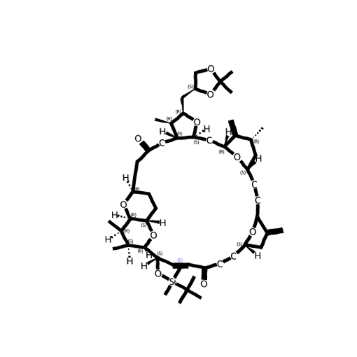 C=C1C[C@@H]2CCC(=O)/C=C/[C@H](O[Si](C)(C)C(C)(C)C)[C@@H]3O[C@H]4CC[C@H](CC(=O)C[C@@H]5[C@@H](C)[C@@H](C[C@H]6COC(C)(C)O6)O[C@H]5C[C@H]5O[C@@H](CCC1O2)C[C@@H](C)C5=C)O[C@@H]4[C@H](C)[C@@H]3C